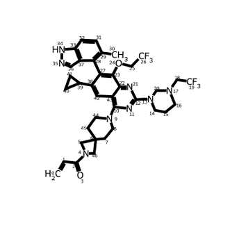 C=CC(=O)N1CC2(CCN(c3nc(N4CCCN(CC(F)(F)F)C4)nc4c(OCC(F)(F)F)c(-c5c(C)ccc6[nH]ncc56)c(C5CC5)cc34)CC2)C1